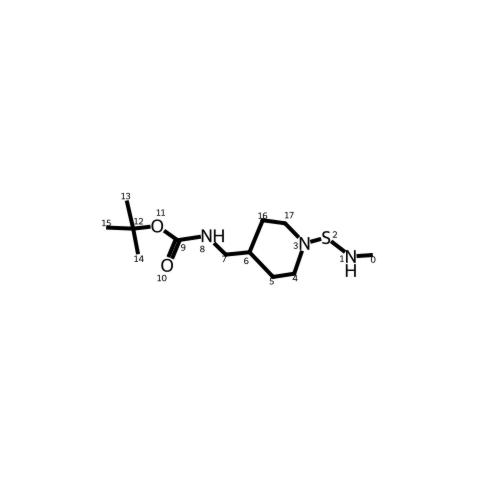 CNSN1CCC(CNC(=O)OC(C)(C)C)CC1